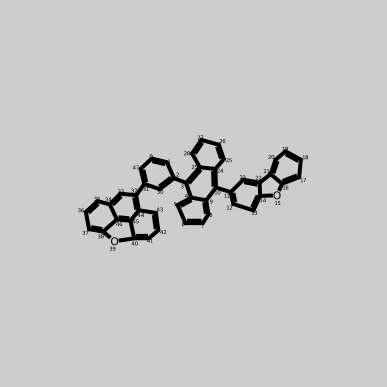 c1cc(-c2c3ccccc3c(-c3ccc4oc5ccccc5c4c3)c3ccccc23)cc(-c2cc3cccc4oc5cccc2c5c34)c1